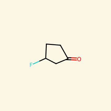 O=C1CCC(F)C1